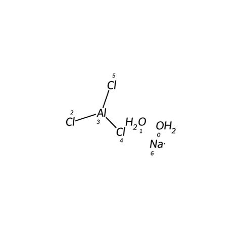 O.O.[Cl][Al]([Cl])[Cl].[Na]